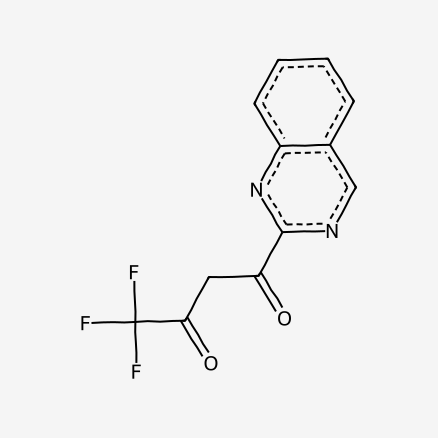 O=C(CC(=O)C(F)(F)F)c1ncc2ccccc2n1